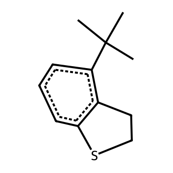 CC(C)(C)c1cccc2c1CCS2